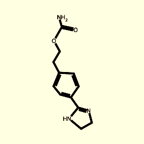 NC(=O)OCCc1ccc(C2=NCCN2)cc1